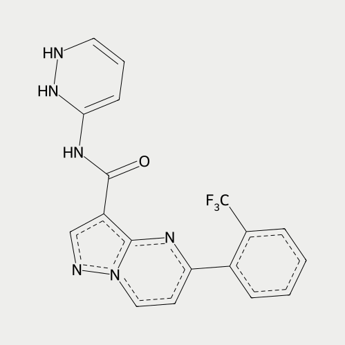 O=C(NC1=CC=CNN1)c1cnn2ccc(-c3ccccc3C(F)(F)F)nc12